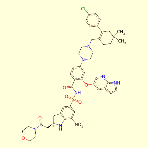 CC1(C)CCC(CN2CCN(c3ccc(C(=O)NS(=O)(=O)c4cc5c(c([N+](=O)[O-])c4)N[C@@H](CC(=O)N4CCOCC4)C5)c(Oc4cnc5[nH]ccc5c4)c3)CC2)=C(c2ccc(Cl)cc2)C1